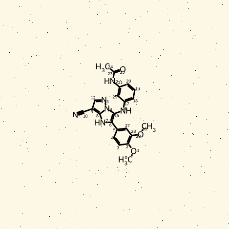 COc1ccc(-c2[nH]c3c(C#N)cnn3c2Nc2cccc(NC(C)=O)c2)cc1OC